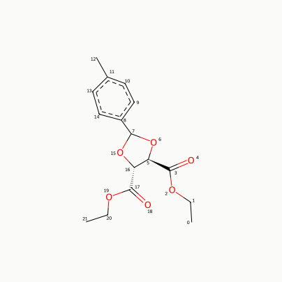 CCOC(=O)[C@@H]1OC(c2ccc(C)cc2)O[C@H]1C(=O)OCC